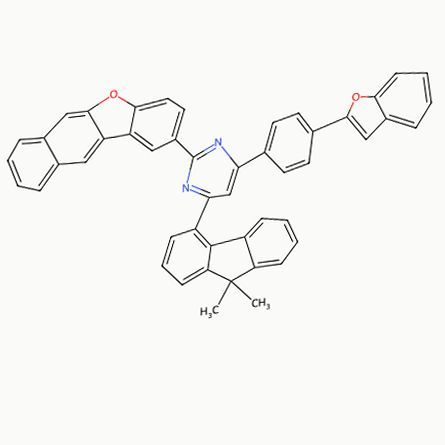 CC1(C)c2ccccc2-c2c(-c3cc(-c4ccc(-c5cc6ccccc6o5)cc4)nc(-c4ccc5oc6cc7ccccc7cc6c5c4)n3)cccc21